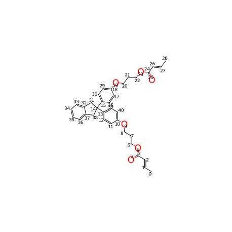 CC=CC(=O)OCCCOc1ccc(C2(c3ccc(OCCCOC(=O)C=CC)cc3)Cc3ccccc3C2)cc1